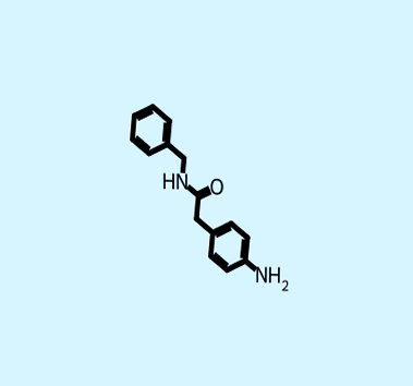 Nc1ccc(CC(=O)NCc2ccccc2)cc1